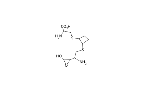 NC(CSC1CCC1SCC(N)C1OC1O)C(=O)O